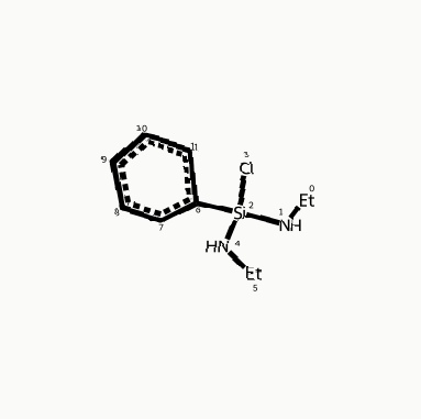 CCN[Si](Cl)(NCC)c1ccccc1